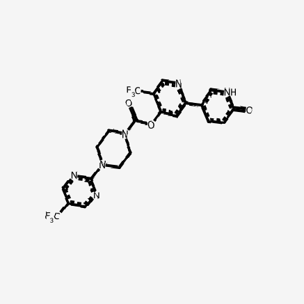 O=C(Oc1cc(-c2ccc(=O)[nH]c2)ncc1C(F)(F)F)N1CCN(c2ncc(C(F)(F)F)cn2)CC1